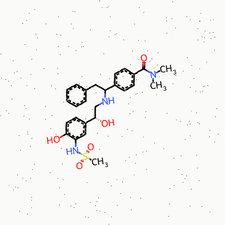 CN(C)C(=O)c1ccc(C(Cc2ccccc2)NC[C@H](O)c2ccc(O)c(NS(C)(=O)=O)c2)cc1